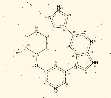 F[C@@H]1CNCC[C@@H]1Oc1cncc(-c2c[nH]c3ncc(-c4cn[nH]c4)cc23)n1